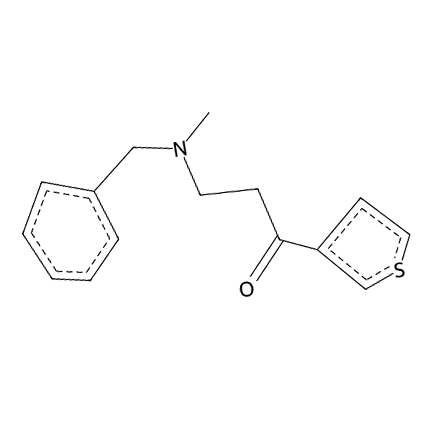 CN(CCC(=O)c1ccsc1)Cc1ccccc1